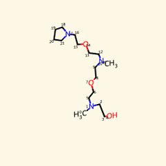 CN(CCO)CCOCCN(C)CCOCCN1CCCC1